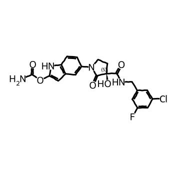 NC(=O)Oc1cc2cc(N3CC[C@](O)(C(=O)NCc4cc(F)cc(Cl)c4)C3=O)ccc2[nH]1